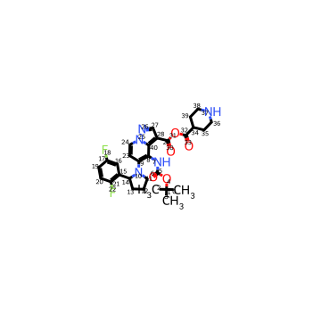 CC(C)(C)OC(=O)Nc1c(N2CCCC2c2cc(F)ccc2F)ccn2ncc(C(=O)OC(=O)C3CCNCC3)c12